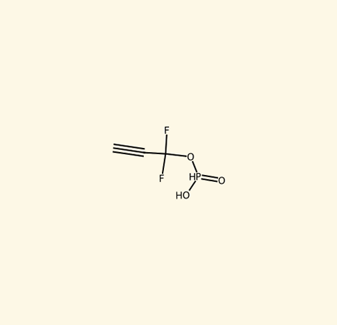 C#CC(F)(F)O[PH](=O)O